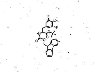 COc1c(F)cc(CC(C(=O)OC(C)(C)C)N(C)C(=O)OCC2c3ccccc3-c3ccccc32)cc1F